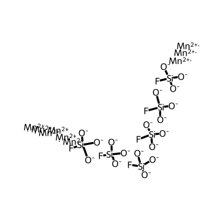 [Mn+2].[Mn+2].[Mn+2].[Mn+2].[Mn+2].[Mn+2].[Mn+2].[Mn+2].[Mn+2].[O-][Si]([O-])([O-])F.[O-][Si]([O-])([O-])F.[O-][Si]([O-])([O-])F.[O-][Si]([O-])([O-])F.[O-][Si]([O-])([O-])F.[O-][Si]([O-])([O-])F